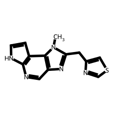 Cn1c(Cc2cscn2)nc2cnc3[nH]ccc3c21